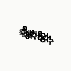 CC(C)(C)OC(=O)c1ccc(C(=O)NC2CCCC2=O)cc1